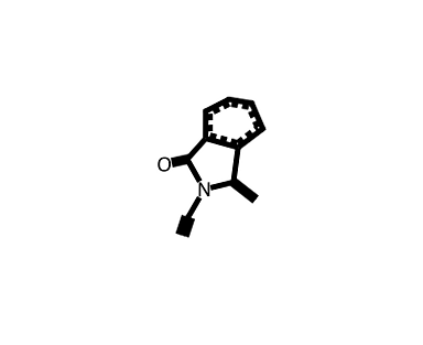 C#CN1C(=C)c2ccccc2C1=O